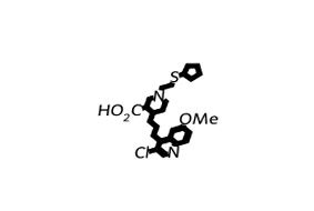 COc1ccc2ncc(Cl)c(CCCC3CCN(CCSC4CCCC4)CC3C(=O)O)c2c1